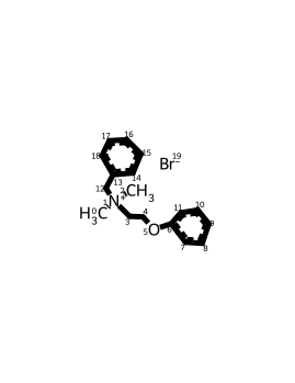 C[N+](C)(CCOc1ccccc1)Cc1ccccc1.[Br-]